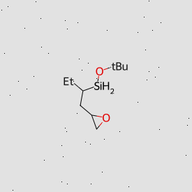 CCC(CC1CO1)[SiH2]OC(C)(C)C